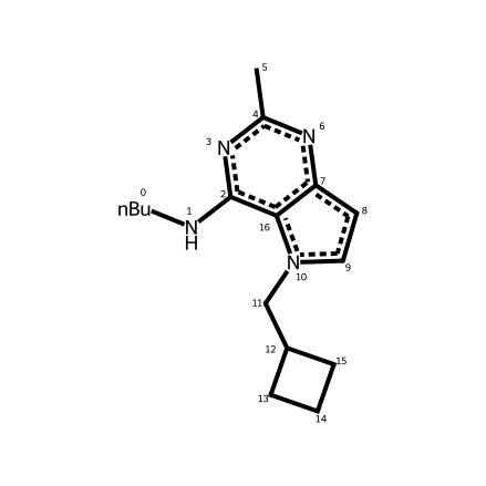 CCCCNc1nc(C)nc2ccn(CC3CCC3)c12